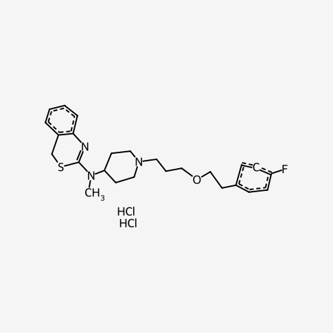 CN(C1=Nc2ccccc2CS1)C1CCN(CCCOCCc2ccc(F)cc2)CC1.Cl.Cl